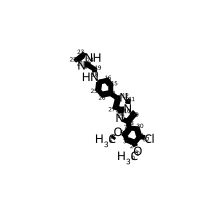 COc1cc(OC)c(-c2cn3cnc(-c4ccc(NCc5ncc[nH]5)cc4)cc3n2)cc1Cl